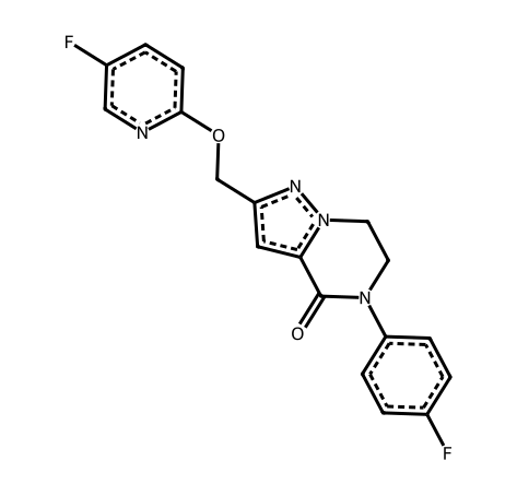 O=C1c2cc(COc3ccc(F)cn3)nn2CCN1c1ccc(F)cc1